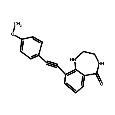 COc1ccc(C#Cc2cccc3c2NCCNC3=O)cc1